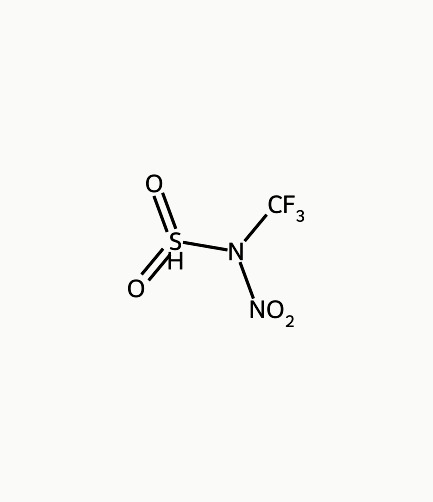 O=[N+]([O-])N([SH](=O)=O)C(F)(F)F